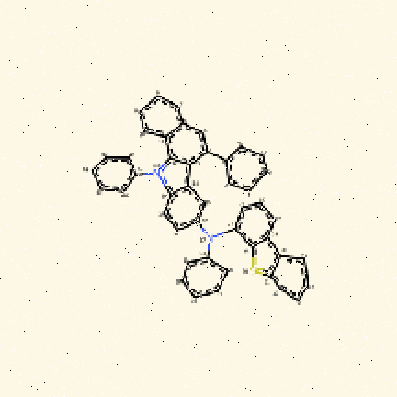 c1ccc(-c2cc3ccccc3c3c2c2cc(N(c4ccccc4)c4cccc5c4sc4ccccc45)ccc2n3-c2ccccc2)cc1